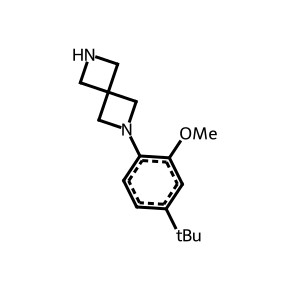 COc1cc(C(C)(C)C)ccc1N1CC2(CNC2)C1